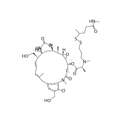 CNC(=O)CCC(C)SSCCCN(C)[C@@H](C)C(=O)O[C@H]1CC(=O)N(C)c2cc(cc(CO)c2Cl)C/C(C)=C/C=C/[C@@H](CO)[C@@]2(O)C[C@H](OC(=O)N2)[C@@H](C)[C@@H]2O[C@@]12C